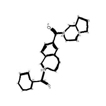 O=C(c1ccc2c(c1)CCN(C(=O)C1CCCCC1)C2)N1CCN2CCCC2C1